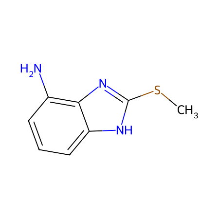 CSc1nc2c(N)cccc2[nH]1